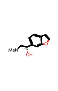 CNC[C@@H](O)c1ccc2ccoc2c1